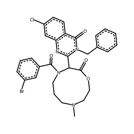 CN1CCCN(C(=O)c2cccc(Br)c2)C(c2nc3cc(Cl)ccc3c(=O)n2Cc2ccccc2)C(=O)OCC1